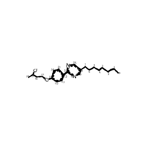 CCCCCCCCc1cnc(-c2ccc(OCCC(C)Cl)cc2)nc1